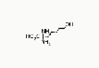 NC(N)(CCCCCO)C(=O)O